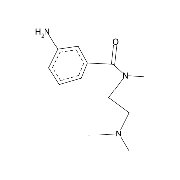 CN(C)CCN(C)C(=O)c1cccc(N)c1